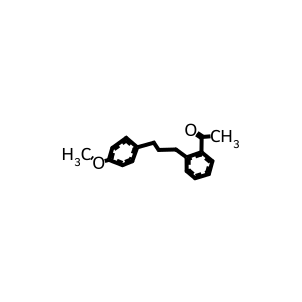 COc1ccc(CCCc2ccccc2C(C)=O)cc1